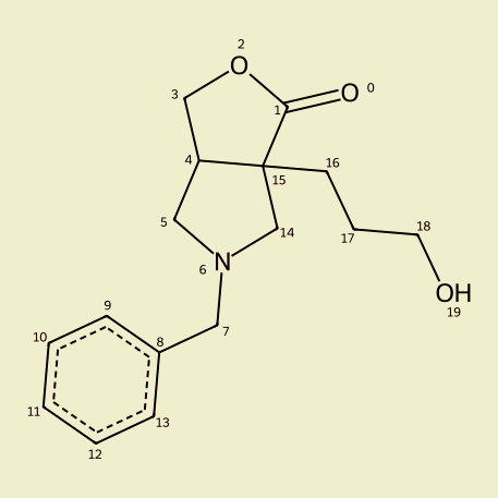 O=C1OCC2CN(Cc3ccccc3)CC12CCCO